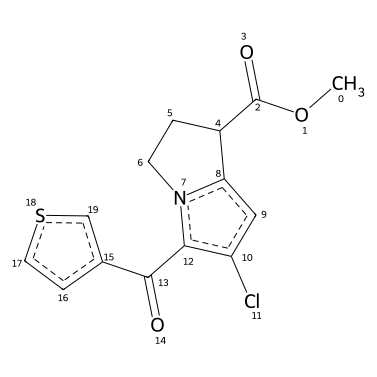 COC(=O)C1CCn2c1cc(Cl)c2C(=O)c1ccsc1